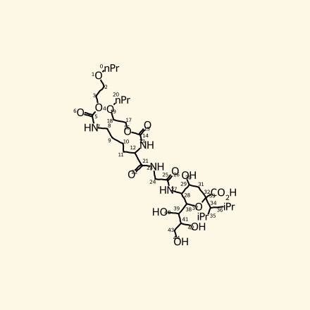 CCCOCCOC(=O)NCCCCC(NC(=O)OCCOCCC)C(=O)NCC(=O)NC1C(O)CC(C(=O)O)(C(C(C)C)C(C)C)OC1C(O)C(O)CO